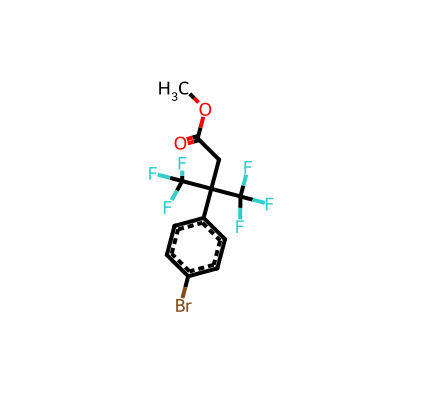 COC(=O)CC(c1ccc(Br)cc1)(C(F)(F)F)C(F)(F)F